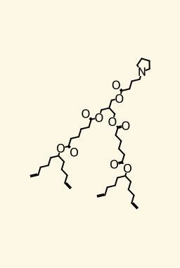 C=CCCCC(CCCC=C)OC(=O)CCCCC(=O)OCC(COC(=O)CCCCC(=O)OC(CCCC=C)CCCC=C)COC(=O)CCCN1CCCC1